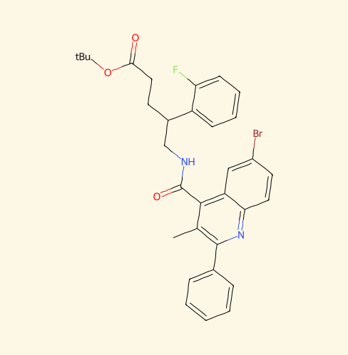 Cc1c(-c2ccccc2)nc2ccc(Br)cc2c1C(=O)NCC(CCC(=O)OC(C)(C)C)c1ccccc1F